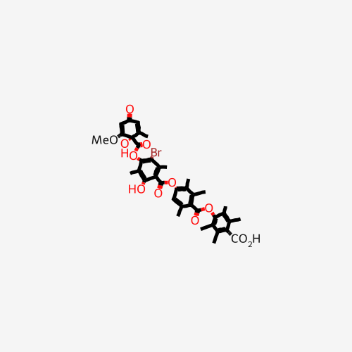 COC1=CC(=O)C=C(C)[C@]1(O)C(=O)Oc1c(C)c(O)c(C(=O)Oc2cc(C)c(C(=O)Oc3c(C)c(C)c(C(=O)O)c(C)c3C)c(C)c2C)c(C)c1Br